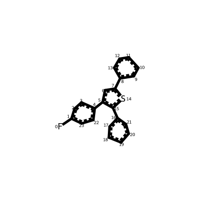 Fc1ccc(-c2cc(-c3ccccc3)sc2-c2ccccc2)cc1